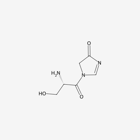 N[C@@H](CO)C(=O)N1C=NC(=O)C1